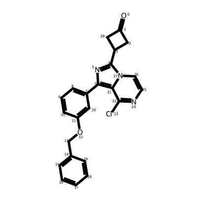 O=C1CC(c2nc(-c3cccc(OCc4ccccc4)c3)c3c(Cl)nccn23)C1